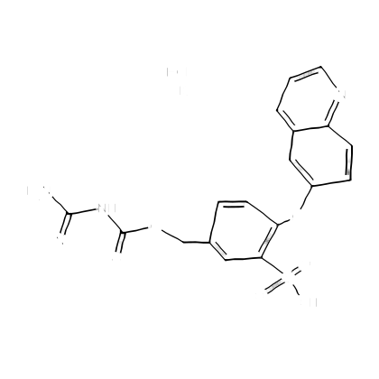 CS(=O)(=O)c1cc(COC(=O)NC(=N)N)ccc1Oc1ccc2ncccc2c1.Cl.Cl